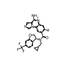 Nc1nc2cc(F)c(C(=O)N(CC3CC3)C3COc4cc(C(F)(F)F)ccc43)cc2n2cncc12